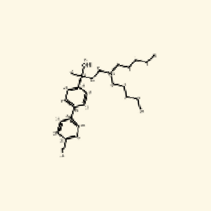 CCCCCN(CCCCC)CCC(C)(O)c1ccc(-c2ccc(F)cc2)cc1